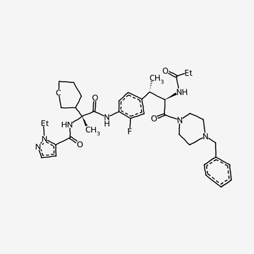 CCC(=O)N[C@@H](C(=O)N1CCN(Cc2ccccc2)CC1)[C@@H](C)c1ccc(NC(=O)[C@](C)(NC(=O)c2ccnn2CC)C2CCCCC2)c(F)c1